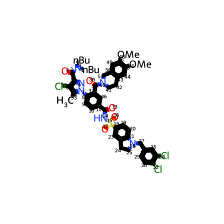 CCCCN(CCCC)C(=O)c1nn(-c2ccc(C(=O)NS(=O)(=O)c3ccc4c(c3)CCN4Cc3ccc(Cl)c(Cl)c3)cc2C(=O)N2CCc3cc(OC)c(OC)cc3C2)c(C)c1Cl